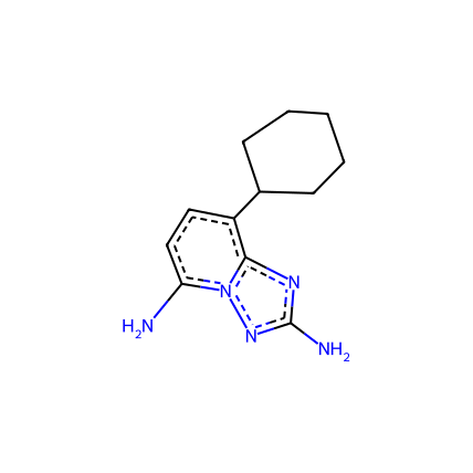 Nc1nc2c(C3CCCCC3)ccc(N)n2n1